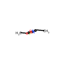 CCCCCCCCCCc1ccc(-c2ncc(OC(=O)c3ccc(OCCCCCCCC)cc3F)cn2)cc1